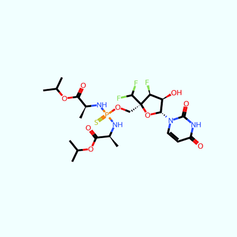 CC(C)OC(=O)[C@H](C)NP(=S)(N[C@@H](C)C(=O)OC(C)C)OC[C@@]1(C(F)F)O[C@@H](n2ccc(=O)[nH]c2=O)[C@H](O)[C@@H]1F